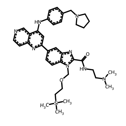 CN(C)CCNC(=O)c1nc2cc(-c3cc(Nc4ccc(CN5CCCC5)cc4)c4cnccc4n3)ccc2n1COCC[Si](C)(C)C